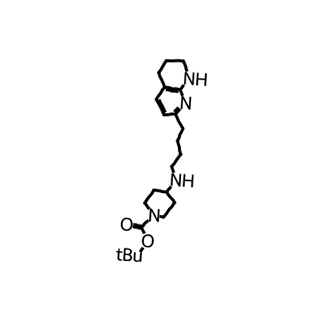 CC(C)(C)OC(=O)N1CCC(NCCCCc2ccc3c(n2)NCCC3)CC1